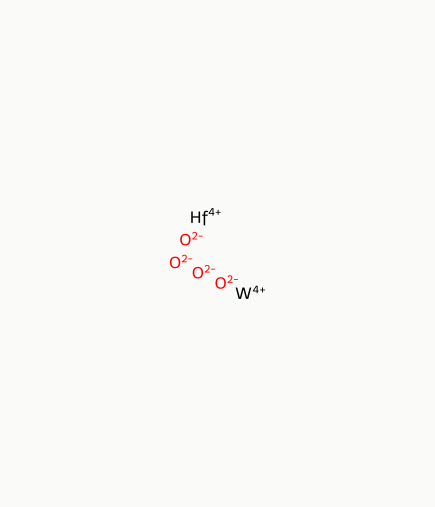 [Hf+4].[O-2].[O-2].[O-2].[O-2].[W+4]